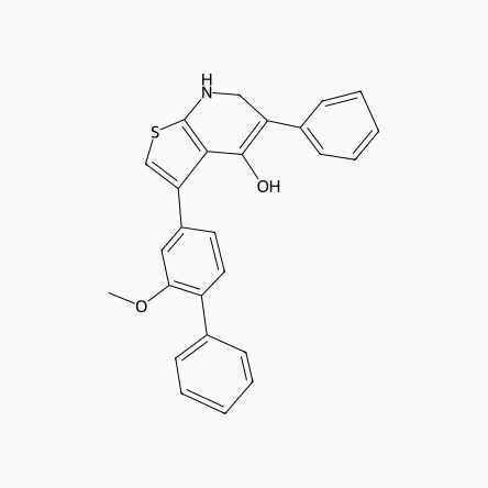 COc1cc(-c2csc3c2C(O)=C(c2ccccc2)CN3)ccc1-c1ccccc1